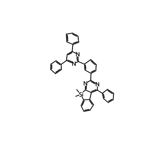 C[Si]1(C)c2ccccc2-c2c(-c3ccccc3)nc(-c3cccc(-c4nc(-c5ccccc5)cc(-c5ccccc5)n4)c3)nc21